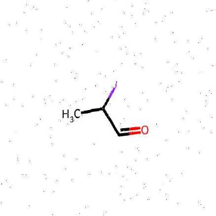 CC(I)C=O